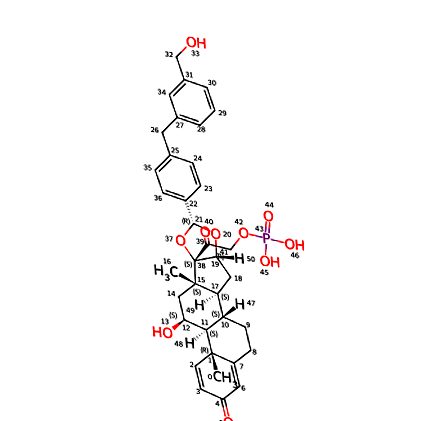 C[C@]12C=CC(=O)C=C1CC[C@@H]1[C@@H]2[C@@H](O)C[C@@]2(C)[C@H]1C[C@H]1O[C@@H](c3ccc(Cc4cccc(CO)c4)cc3)O[C@]12C(=O)COP(=O)(O)O